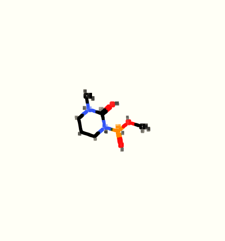 CO[PH](=O)N1CCCN(C)C1=O